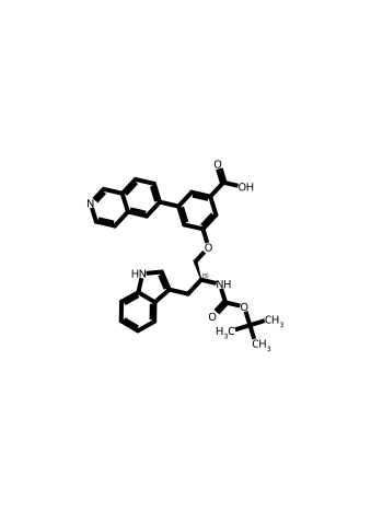 CC(C)(C)OC(=O)N[C@H](COc1cc(C(=O)O)cc(-c2ccc3cnccc3c2)c1)Cc1c[nH]c2ccccc12